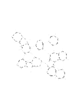 c1ccc(-c2ccc(-c3nc(-c4cccc5oc6cc(-n7c8ccc9ccccc9c8c8c9ccccc9ccc87)ccc6c45)nc4c3sc3ccccc34)cc2)cc1